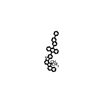 CC1(C)c2c(ccc3ccccc23)-c2ccc3sc4cc(-c5c6ccccc6c(-c6ccc7cc(-c8ccccc8)ccc7c6)c6ccccc56)ccc4c3c21